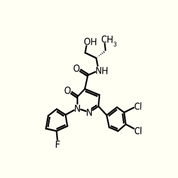 CC[C@@H](CO)NC(=O)c1cc(-c2ccc(Cl)c(Cl)c2)nn(-c2cccc(F)c2)c1=O